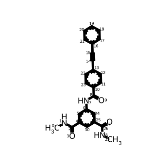 CNC(=O)c1cc(NC(=O)c2ccc(C#Cc3ccccc3)cc2)cc(C(=O)NC)c1